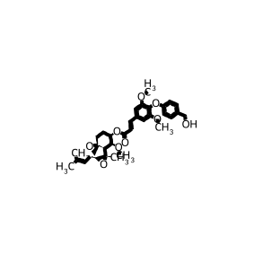 COc1cc(/C=C/C(=O)O[C@@H]2CC[C@]3(CO3)[C@@H]([C@@]3(C)O[C@@H]3CC=C(C)C)[C@@H]2OC)cc(OC)c1Oc1ccc(CO)cc1